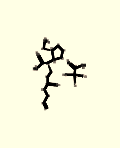 C=CCOC(=O)CC[C@H](C(=O)O)N1CCC[C@H]1CN.O=C(O)C(F)(F)F